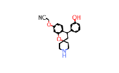 N#CCOc1ccc2c(c1)OC1(CCNCC1)CC2c1cccc(O)c1